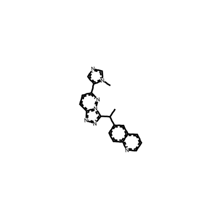 CC(c1ccc2ncccc2c1)c1nnc2ccc(-c3cncn3C)nn12